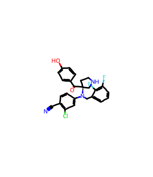 N#Cc1ccc(N(Cc2cccc(F)c2F)[C@@]2(C(=O)c3ccc(O)cc3)CCNC2)cc1Cl